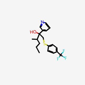 CCCC(C)C(O)(CSc1ccc(C(F)(F)F)cc1)c1cccnc1